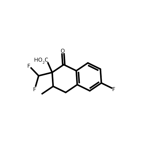 CC1Cc2cc(F)ccc2C(=O)C1(C(=O)O)C(F)F